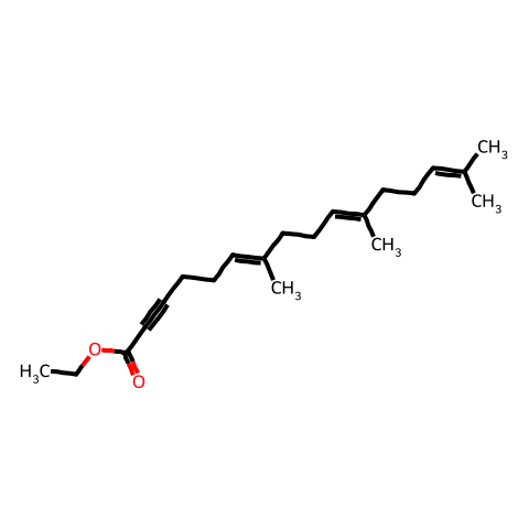 CCOC(=O)C#CCC/C=C(\C)CC/C=C(\C)CCC=C(C)C